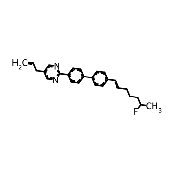 C=CCc1cnc(-c2ccc(-c3ccc(/C=C/CCCC(C)F)cc3)cc2)nc1